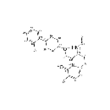 CSNC1CCc2ccc(C)c(=O)n2C1COC1CCC(c2ccccc2C)CC1